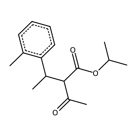 CC(=O)C(C(=O)OC(C)C)C(C)c1ccccc1C